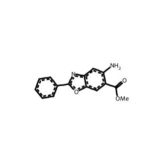 COC(=O)c1cc2oc(-c3ccccc3)nc2cc1N